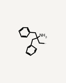 [CH2]CC(N)(Cc1ccccc1)Cc1ccccc1